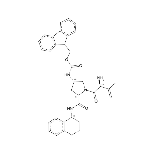 C=C(C)[C@H](N)C(=O)N1C[C@@H](NC(=O)OCC2c3ccccc3-c3ccccc32)C[C@H]1C(=O)N[C@@H]1CCCc2ccccc21